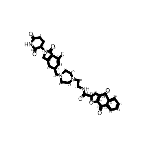 O=C1CCC(N2CC3=C(C2=O)C(F)=CC(CN2CCN(CCNC(=O)C4CC5=C(O4)C(=O)c4ccccc4C5=O)CC2)C3)C(=O)N1